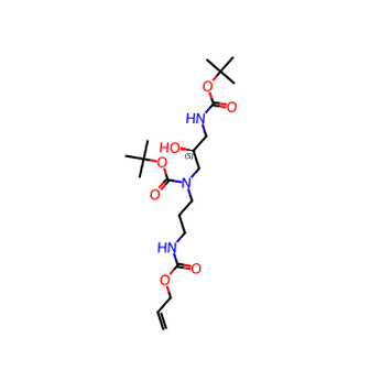 C=CCOC(=O)NCCCN(C[C@@H](O)CNC(=O)OC(C)(C)C)C(=O)OC(C)(C)C